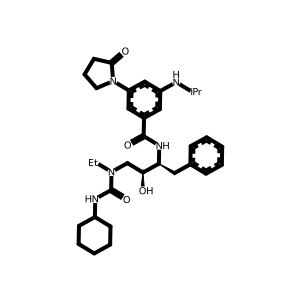 CCN(C[C@H](O)[C@H](Cc1ccccc1)NC(=O)c1cc(NC(C)C)cc(N2CCCC2=O)c1)C(=O)NC1CCCCC1